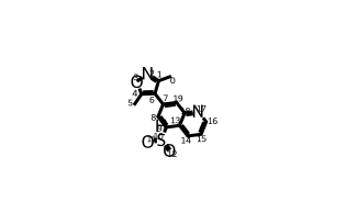 Cc1noc(C)c1-c1cc([SH](=O)=O)c2cccnc2c1